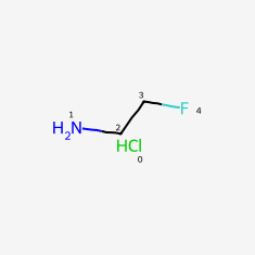 Cl.NCCF